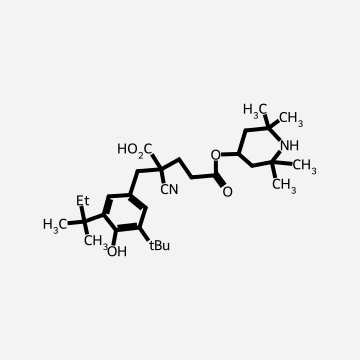 CCC(C)(C)c1cc(CC(C#N)(CCC(=O)OC2CC(C)(C)NC(C)(C)C2)C(=O)O)cc(C(C)(C)C)c1O